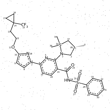 C[C@@H]1CN(c2nc(-n3ccc(OCCC4(C(F)(F)F)CC4)n3)ccc2C(=O)NS(=O)(=O)c2ccccc2)S(C)(C)C1